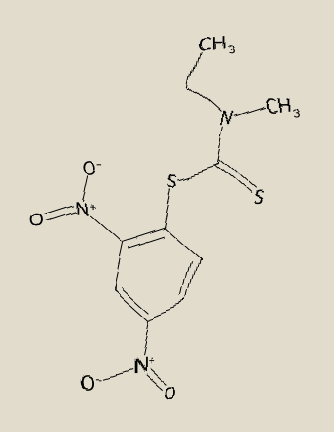 CCN(C)C(=S)Sc1ccc([N+](=O)[O-])cc1[N+](=O)[O-]